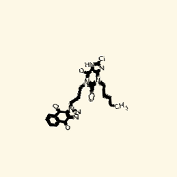 CCCCCn1c(=O)n(CCCn2nnc3c2C(=O)c2ccccc2C3=O)c(=O)c2[nH]c(Cl)nc21